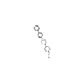 CCCC1CCC(C2CC=C(c3ccc(-c4ccccc4)cc3)CC2)CC1